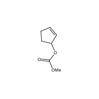 COC(=O)OC1C=CCC1